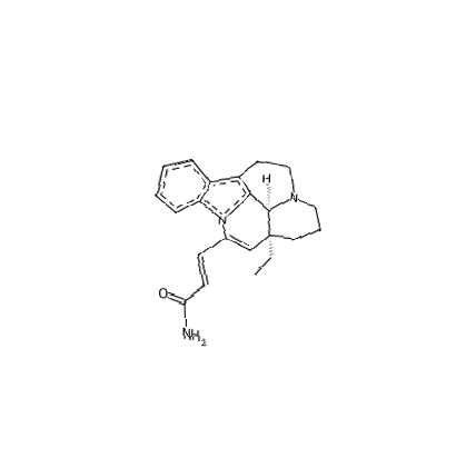 CC[C@@]12C=C(/C=C/C(N)=O)n3c4c(c5ccccc53)CCN(CCC1)[C@H]42